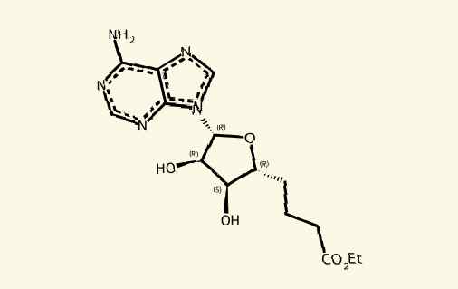 CCOC(=O)CCC[C@H]1O[C@@H](n2cnc3c(N)ncnc32)[C@H](O)[C@@H]1O